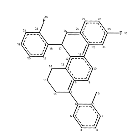 Cc1ccccc1C1=c2ccc3c(c2CCC1)C(c1ccccc1F)C=c1ccc(F)cc1=3